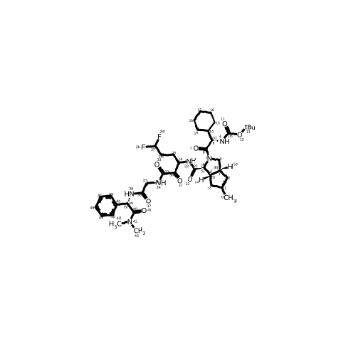 CC1C[C@H]2CN(C(=O)[C@@H](NC(=O)OC(C)(C)C)C3CCCCC3)[C@H](C(=O)NC(CCC(F)F)C(=O)C(=O)NCC(=O)N[C@H](C(=O)N(C)C)c3ccccc3)[C@H]2C1